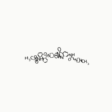 CCS(=O)(=O)Nc1ccccc1-c1ccccc1C(=O)N1CCC(O)(Cn2cnc3cc(NC(=O)C=CN4CCN(C)CC4)ccc3c2=O)CC1